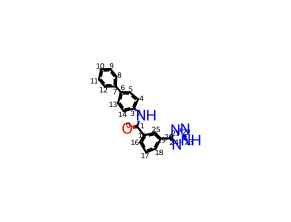 O=C(Nc1ccc(-c2ccccc2)cc1)c1cccc(-c2nn[nH]n2)c1